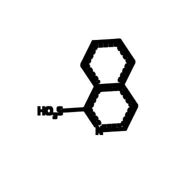 O=S(=O)(O)c1nccc2ccccc12